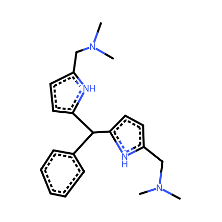 CN(C)Cc1ccc(C(c2ccccc2)c2ccc(CN(C)C)[nH]2)[nH]1